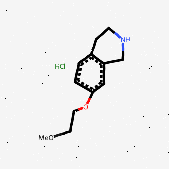 COCCOc1ccc2c(c1)CNCC2.Cl